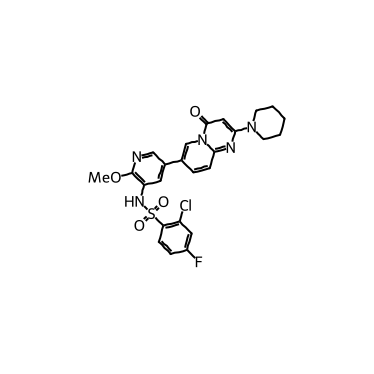 COc1ncc(-c2ccc3nc(N4CCCCC4)cc(=O)n3c2)cc1NS(=O)(=O)c1ccc(F)cc1Cl